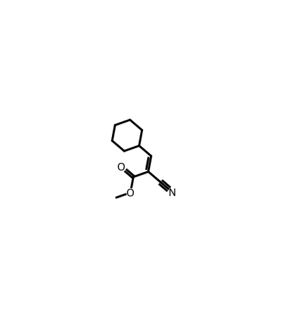 COC(=O)C(C#N)=CC1CCCCC1